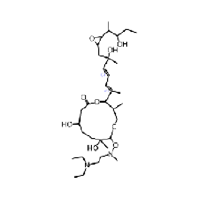 CCC(O)C(C)C1OC1CC(C)(O)/C=C/C=C(\C)C1OC(=O)CC(O)CCC(C)(O)C(ON(C)CCN(CC)CC)CCC1C